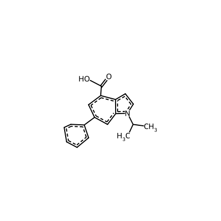 CC(C)n1ccc2c(C(=O)O)cc(-c3ccccc3)cc21